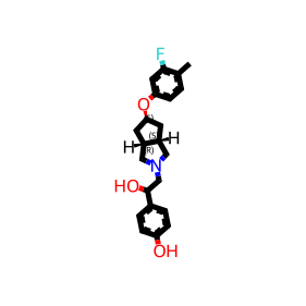 Cc1ccc(O[C@H]2C[C@@H]3CN(CC(O)c4ccc(O)cc4)C[C@@H]3C2)cc1F